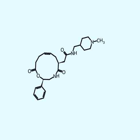 CN1CCC(CNC(=O)C[C@@H]2CC=CCCC(=O)O[C@H](c3ccccc3)CNC2=O)CC1